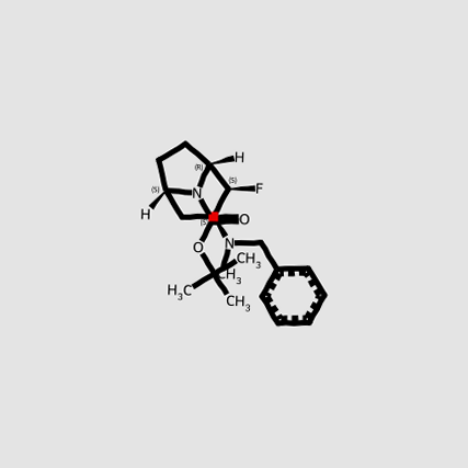 CN(Cc1ccccc1)[C@H]1C[C@@H]2CC[C@H]([C@H]1F)N2C(=O)OC(C)(C)C